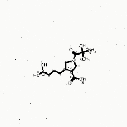 CC(C)(N)C(=O)N1CC(CCCB(O)O)[C@H](C(=O)O)C1